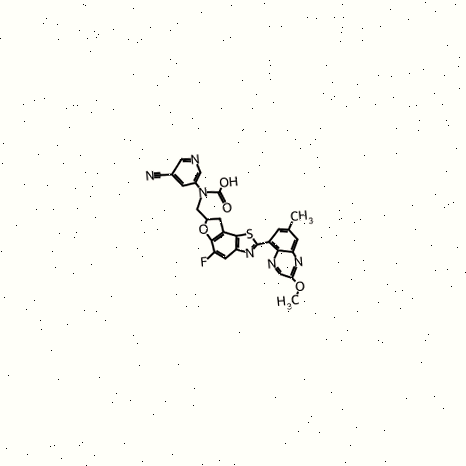 COc1cnc2c(-c3nc4cc(F)c5c(c4s3)CC(CN(C(=O)O)c3cncc(C#N)c3)O5)cc(C)cc2n1